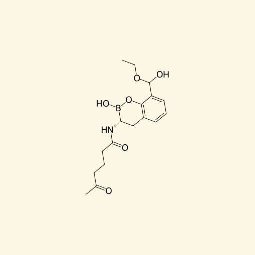 CCOC(O)c1cccc2c1OB(O)[C@@H](NC(=O)CCCC(C)=O)C2